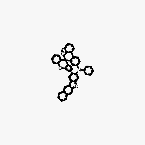 c1ccc(N(c2ccc3c(c2)C2(c4ccccc4Oc4ccccc42)c2cccc4cccc-3c24)c2ccc3c(c2)oc2cc4ccccc4cc23)cc1